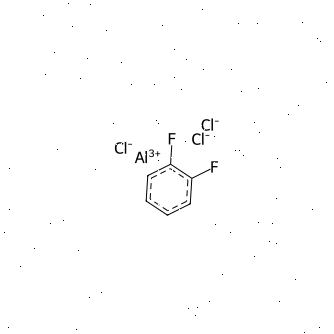 Fc1ccccc1F.[Al+3].[Cl-].[Cl-].[Cl-]